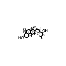 CC(C)[C@H](C)[C@@H](O)[C@H](O)[C@@H](C)[C@H]1CC[C@H]2[C@@H]3CC(=O)[C@H]4C[C@@H](O)CC[C@]4(C)[C@H]3CC[C@]12C